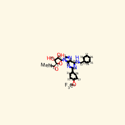 CNC(=O)[C@@H]1OC(n2cnc3c(NCc4ccccc4)nc(-c4ccc(OC(F)(F)F)cc4)nc32)C(O)C1O